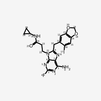 Nc1nc(F)nc2c1nc(Cc1cc3c(cc1I)OCO3)n2CCC(=O)NC1CC1